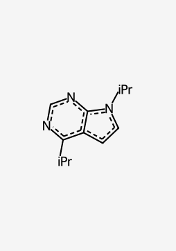 CC(C)c1ncnc2c1ccn2C(C)C